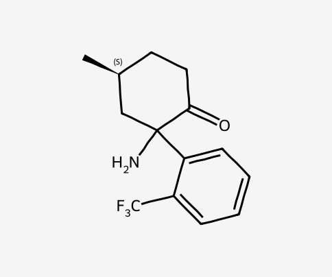 C[C@H]1CCC(=O)C(N)(c2ccccc2C(F)(F)F)C1